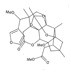 COC(=O)CC1C2(C)CC3(OC)C4OC(=O)CC5C(C)(C(OC)c6ccoc6)CCC67OC(C)(OC546)OC3(C2)C17C